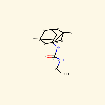 CCOC(=O)CNC(=O)NC12CC3CC(C)(CC(C)(C3)C1)C2